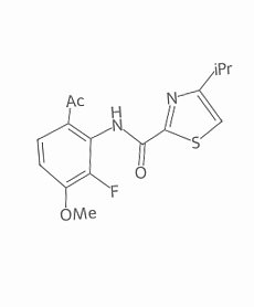 COc1ccc(C(C)=O)c(NC(=O)c2nc(C(C)C)cs2)c1F